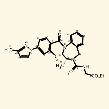 CCOC(=O)CNC(=O)N1Cc2ccccc2N(C(=O)c2ccc(-n3ccc(C)n3)cc2Cl)C[C@H]1C